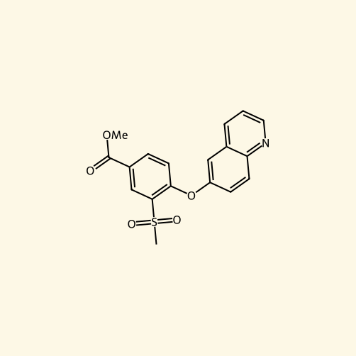 COC(=O)c1ccc(Oc2ccc3ncccc3c2)c(S(C)(=O)=O)c1